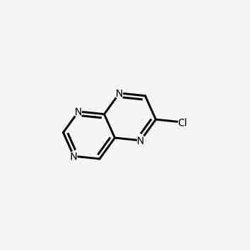 Clc1cnc2ncncc2n1